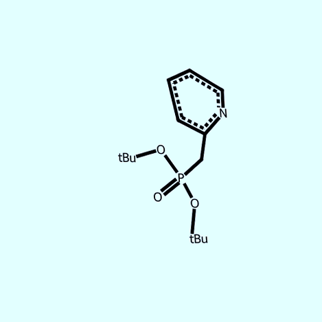 CC(C)(C)OP(=O)(Cc1ccccn1)OC(C)(C)C